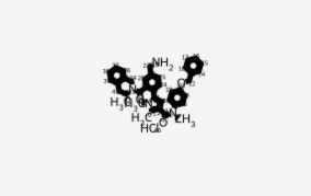 Cc1c(C(=O)N(C)c2ccc(OCc3ccccc3)cc2)cc(-c2ccc(CN)cc2C(=O)N2Cc3ccccc3C[C@H]2C)n1C.Cl